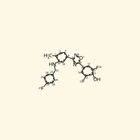 Cc1ccc(-c2noc(-c3cc(F)c(O)c(F)c3)n2)cc1NCc1ccc(F)cc1